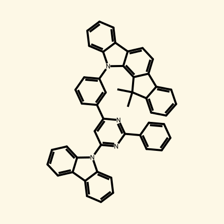 CC1(C)c2ccccc2-c2ccc3c4ccccc4n(-c4cccc(-c5cc(-n6c7ccccc7c7ccccc76)nc(-c6ccccc6)n5)c4)c3c21